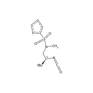 CN(C[C@@H](N=C=O)C(C)(C)C)S(=O)(=O)c1cccs1